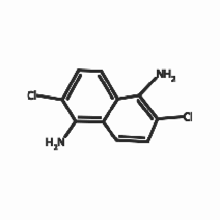 Nc1c(Cl)ccc2c(N)c(Cl)ccc12